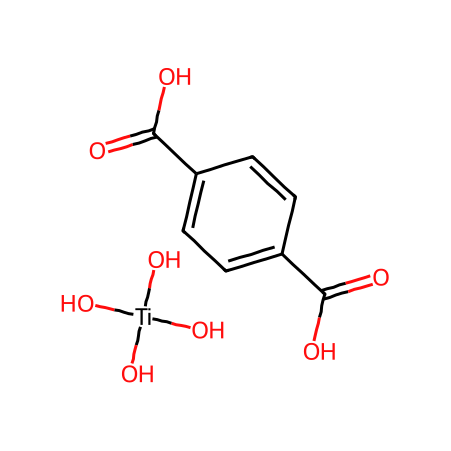 O=C(O)c1ccc(C(=O)O)cc1.[OH][Ti]([OH])([OH])[OH]